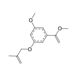 C=C(C)COc1cc(OC)cc(C(=C)OC)c1